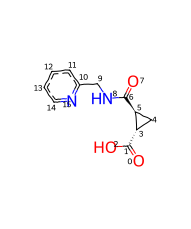 O=C(O)[C@H]1C[C@@H]1C(=O)NCc1ccccn1